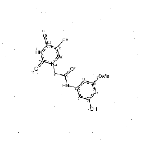 COc1cc(O)cc(NC(=O)Cn2cc(F)c(=O)[nH]c2=O)c1